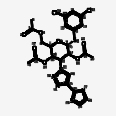 CC(=O)OCC1O[C@H](Sc2cc(Cl)cc(Cl)c2)C(OC(C)=O)C(n2cc(-c3nccs3)nn2)[C@H]1OC(C)=O